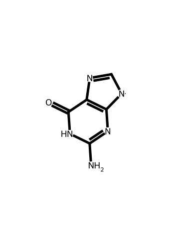 Nc1nc2c(c(=O)[nH]1)N=C[N]2